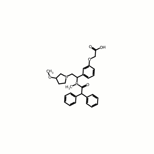 COC1CCN(CC(c2cccc(OCC(=O)O)c2)N(C)C(=O)C(c2ccccc2)c2ccccc2)C1